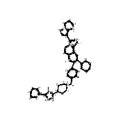 c1ccc(-c2cc3c(ccn4c(-c5cnn6cccnc56)nnc34)nc2-c2ccc(CN3CCC(c4nnc(-c5ccccn5)[nH]4)CC3)cc2)cc1